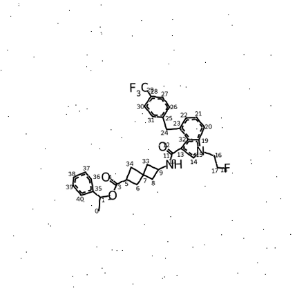 CC(OC(=O)C1CC2(CC(NC(=O)c3cn(CCF)c4cccc(Cc5ccc(C(F)(F)F)cc5)c34)C2)C1)c1ccccc1